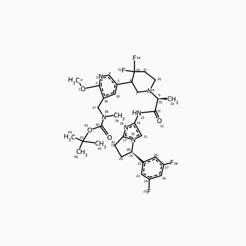 COc1ncc(C2CN([C@@H](C)C(=O)Nc3cn4c(n3)CC[C@@H]4c3cc(F)cc(F)c3)CCC2(F)F)cc1CN(C)C(=O)OC(C)(C)C